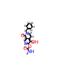 CNC(=O)Oc1ncc2c(=O)n(Cc3ccccc3)ccc2c1O